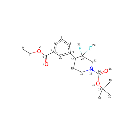 CCOC(=O)c1cccc(C2CCN(C(=O)OC(C)(C)C)CC2(F)F)c1